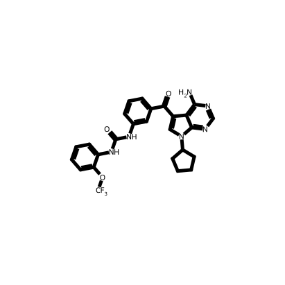 Nc1ncnc2c1c(C(=O)c1cccc(NC(=O)Nc3ccccc3OC(F)(F)F)c1)cn2C1CCCC1